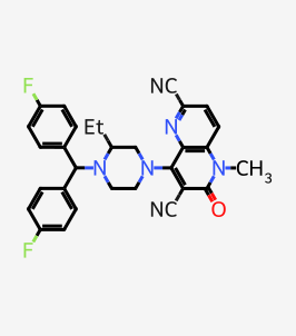 CCC1CN(c2c(C#N)c(=O)n(C)c3ccc(C#N)nc23)CCN1C(c1ccc(F)cc1)c1ccc(F)cc1